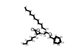 CCCCCCCCCCC[C@@H](C[C@@H]1OC(=O)[C@H]1CCCCCC)OCc1ccccc1